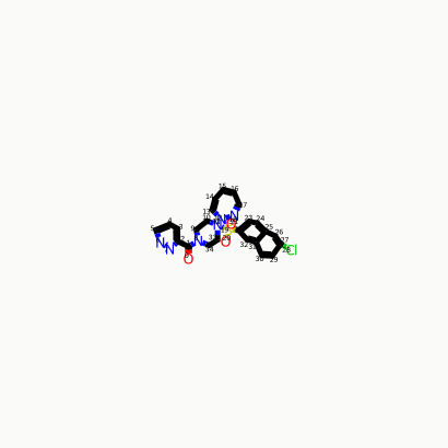 O=C(c1cccnn1)N1CC[N+](N2C=CC=CC=N2)(S(=O)(=O)c2ccc3cc(Cl)ccc3c2)CC1